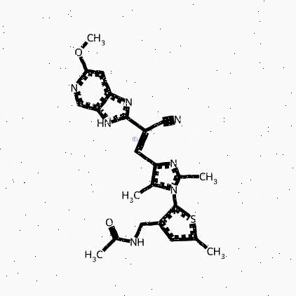 COc1cc2nc(/C(C#N)=C/c3nc(C)n(-c4sc(C)cc4CNC(C)=O)c3C)[nH]c2cn1